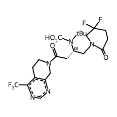 CC(C)(C)N(C(=O)O)[C@@H](CC(=O)N1CCc2c(ncnc2C(F)(F)F)C1)CN1CC(F)(F)CCC1=O